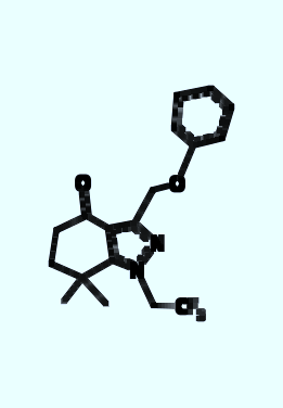 CC1(C)CCC(=O)c2c(COc3ccccc3)nn(CC(F)(F)F)c21